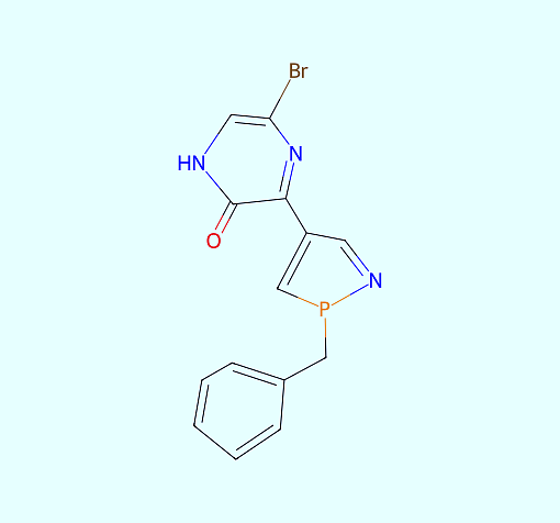 O=c1[nH]cc(Br)nc1-c1cnp(Cc2ccccc2)c1